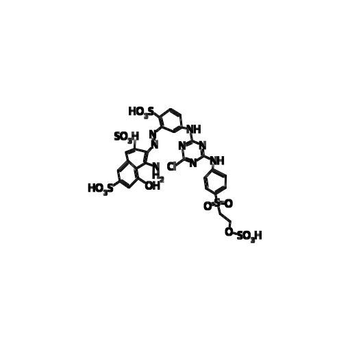 Nc1c(/N=N/c2cc(Nc3nc(Cl)nc(Nc4ccc(S(=O)(=O)CCOS(=O)(=O)O)cc4)n3)ccc2S(=O)(=O)O)c(S(=O)(=O)O)cc2cc(S(=O)(=O)O)cc(O)c12